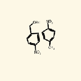 CC(=O)OCc1ccc([N+](=O)[O-])cc1.Cc1ccc([N+](=O)[O-])cc1